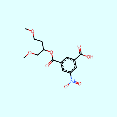 COCCC(COC)OC(=O)c1cc(C(=O)O)cc([N+](=O)[O-])c1